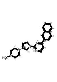 CN1CCN([C@@H]2CCN(c3nccc(-c4ccc5ccccc5c4)n3)C2)CC1